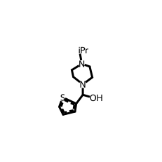 CC(C)N1CCN(C(O)c2cccs2)CC1